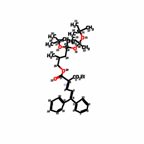 CCOC(=O)/C(=C\C=C(c1ccccc1)c1ccccc1)C(=O)OCC(C)C[Si](C)(O[Si](C)(C)C)O[Si](C)(C)O[Si](C)(C)C